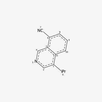 CC(C)c1cncc2c(C#N)cccc12